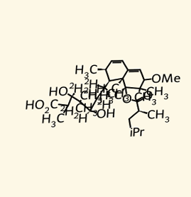 [2H]C(C)([C@H]1[C@@H](C)C=CC2=CC(OC)C(C)(C)[C@](C)(OC(=O)[C@@H](C)CC(C)C)[C@@]21C)C([2H])([2H])[C@@]([2H])(O)C(C)(C)[C@@]([2H])(O)C([2H])(C)C(=O)O